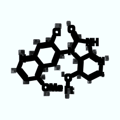 CCOc1ccnc2[nH]c(=O)n(-c3cc4c(OC)ccnc4cc3Cl)c12